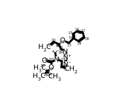 C=CCN(C[C@@H](N=[N+]=[N-])[C@@H](C=C)OCc1ccccc1)C(=O)OC(C)(C)C